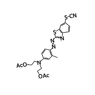 CC(=O)OCCN(CCOC(C)=O)c1ccc(/N=N/c2nc3ccc(SC#N)cc3s2)c(C)c1